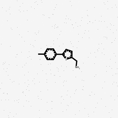 Cc1ccc(-c2ccc(CN)s2)cc1